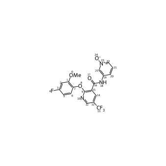 COc1cc(F)ccc1Oc1ncc(C(F)(F)F)cc1C(=O)Nc1ccc[n+]([O-])c1